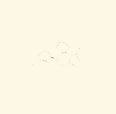 COc1cccc([C@@H]2O[C@@H](CC(=O)O)c3nnc(C(C)(F)F)n3-c3ccc(Br)cc32)c1Cl